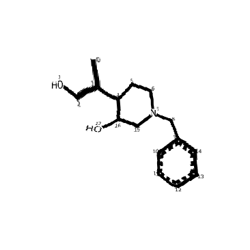 CC(CO)C1CCN(Cc2ccccc2)CC1O